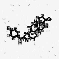 C[C@]12CCc3nc(Nc4ccc(F)cc4)sc3C1=CC[C@@H]1[C@@H]2CC[C@]2(C)C(=O)CC[C@@H]12